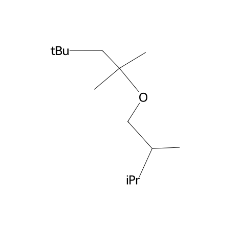 CC(C)C(C)COC(C)(C)CC(C)(C)C